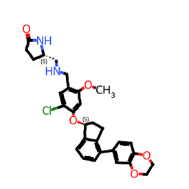 COc1cc(O[C@H]2CCc3c(-c4ccc5c(c4)OCCO5)cccc32)c(Cl)cc1CNC[C@@H]1CCC(=O)N1